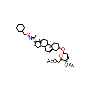 CC(=O)OC[C@H]1OC(O[C@H]2CC[C@@]3(C)C(=CCC4C3CC[C@@]3(C)C4CC[C@@H]3/C(C)=N/OCC3CCCCC3)C2)C=C[C@@H]1OC(C)=O